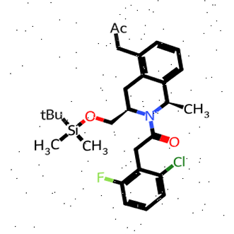 CC(=O)Cc1cccc2c1C[C@H](CO[Si](C)(C)C(C)(C)C)N(C(=O)Cc1c(F)cccc1Cl)[C@@H]2C